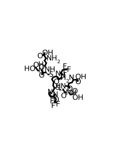 N[C@H](CCC(=O)N[C@@H](CSC(CC(=O)CC(SC[C@H](NC(=O)CC[C@H](N)C(=O)O)C(=O)NCC(=O)O)c1ccnc(CC(F)(F)F)n1)c1nccc(OC(F)(F)F)n1)C(=O)NCC(=O)O)C(=O)O